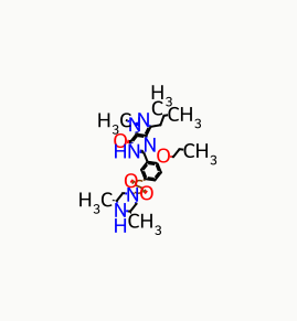 CCCOc1ccc(S(=O)(=O)N2C[C@@H](C)N[C@@H](C)C2)cc1-c1nc2c(CC(C)C)nn(C)c2c(=O)[nH]1